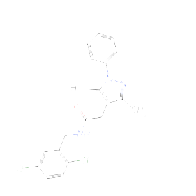 Cc1nn(-c2ccccc2)c(C)c1CC(=O)NCc1cc(Cl)ccc1Cl